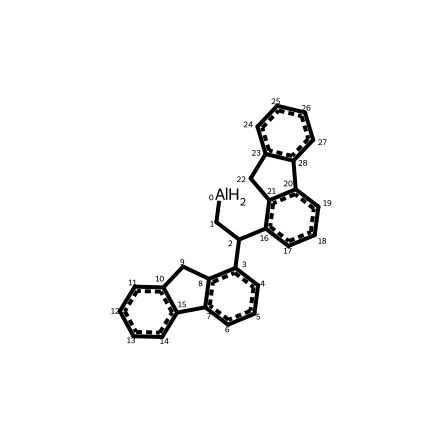 [AlH2][CH2]C(c1cccc2c1Cc1ccccc1-2)c1cccc2c1Cc1ccccc1-2